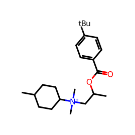 CC1CCC([N+](C)(C)CC(C)OC(=O)c2ccc(C(C)(C)C)cc2)CC1